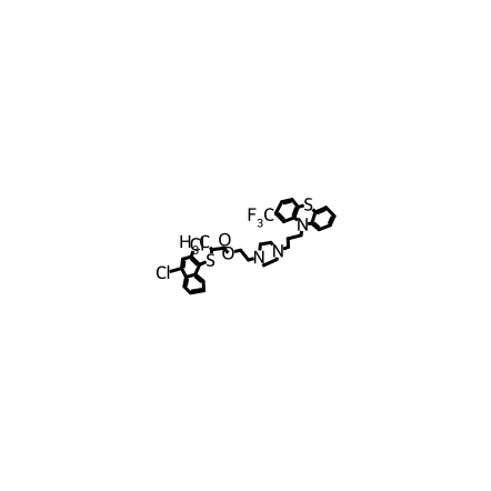 CC(Sc1c(Cl)cc(Cl)c2ccccc12)C(=O)OCCN1CCN(CCCN2c3ccccc3Sc3ccc(C(F)(F)F)cc32)CC1